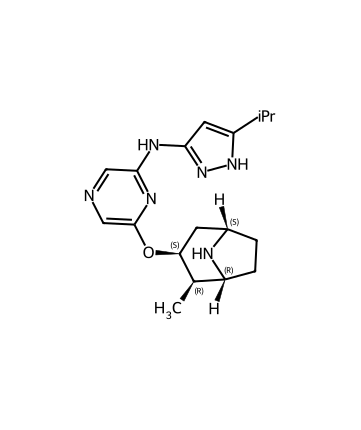 CC(C)c1cc(Nc2cncc(O[C@H]3C[C@@H]4CC[C@@H](N4)[C@H]3C)n2)n[nH]1